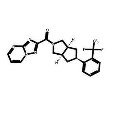 O=C(c1nc2ncccn2n1)N1C[C@H]2C[C@@H](c3ccccc3C(F)(F)C(F)(F)F)C[C@H]2C1